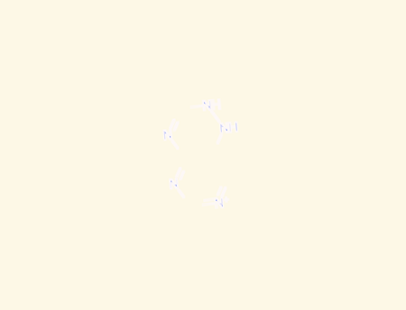 C1=[N+]=CN=C2N=CNNC=12